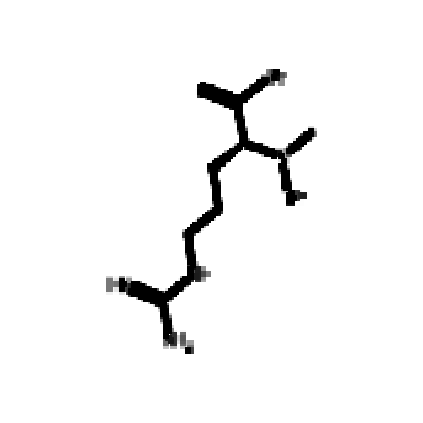 C=C(C(C)C)[C@H](CCCNC(=N)N)N(C)C(C)C